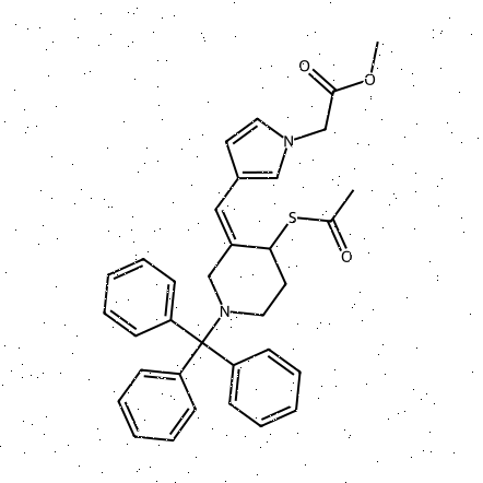 COC(=O)Cn1ccc(C=C2CN(C(c3ccccc3)(c3ccccc3)c3ccccc3)CCC2SC(C)=O)c1